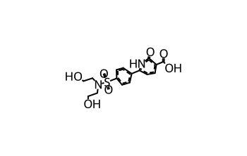 O=C(O)c1ccc(-c2ccc(S(=O)(=O)N(CCO)CCO)cc2)[nH]c1=O